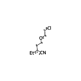 CCC(C#N)CCOCCCl